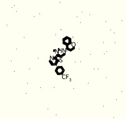 CN(C)c1c(CN[C@H]2CCOc3ccccc32)sc2c1nccc2[C@H]1CC[C@H](C(F)(F)F)CC1